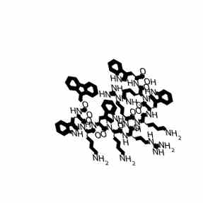 N=C(N)NCCC[C@H](NC(=O)[C@H](CCCNC(=N)N)NC(=O)[C@H](CCCCN)NC(=O)[C@H](Cc1c[nH]c2ccccc12)NC(=O)[C@H](CCCCN)NC(=O)[C@H](Cc1c[nH]c2ccccc12)NC(=O)OCC1c2ccccc2-c2ccccc21)C(=O)N[C@@H](CCCCN)C(=O)N[C@@H](Cc1c[nH]c2ccccc12)C(=O)N[C@@H](CCCCN)C(=O)N[C@@H](Cc1c[nH]c2ccccc12)C(=O)O